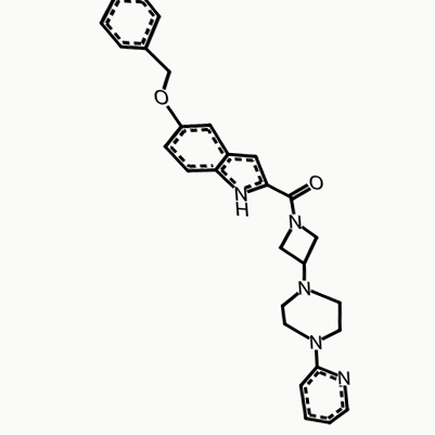 O=C(c1cc2cc(OCc3ccccc3)ccc2[nH]1)N1CC(N2CCN(c3ccccn3)CC2)C1